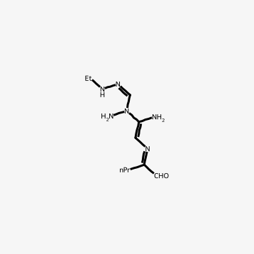 CCC/C(C=O)=N\C=C(/N)N(N)/C=N\NCC